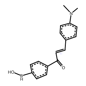 CN(C)c1ccc(/C=C/C(=O)c2ccc(BO)cc2)cc1